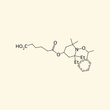 CCC1(CC)CC(OC(=O)CCCCC(=O)O)CC(C)(C)N1OC(C)c1ccccc1